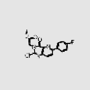 COC(=O)Cn1c(Cl)nc2ccc(-c3ccc(F)cc3)nc2c1=O